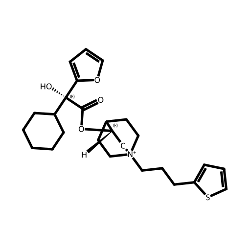 O=C(O[C@H]1C[N+]2(CCCc3cccs3)CCC1CC2)[C@](O)(c1ccco1)C1CCCCC1